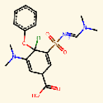 CN(C)/C=N/S(=O)(=O)C1=CC(C(=O)O)C=C(N(C)C)C1(Cl)Oc1ccccc1